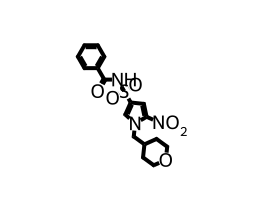 O=C(NS(=O)(=O)c1cc([N+](=O)[O-])n(CC2CCOCC2)c1)c1ccccc1